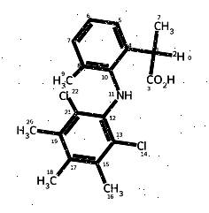 [2H]C(C)(C(=O)O)c1cccc(C)c1Nc1c(Cl)c(C)c(C)c(C)c1Cl